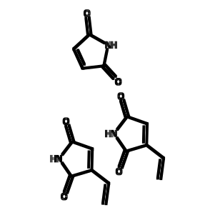 C=CC1=CC(=O)NC1=O.C=CC1=CC(=O)NC1=O.O=C1C=CC(=O)N1